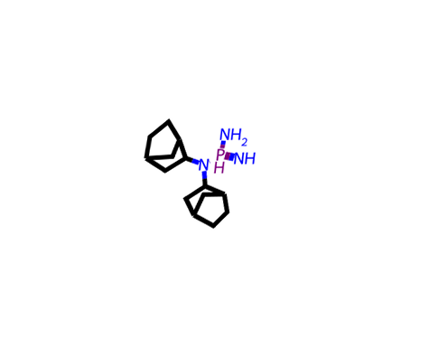 N=[PH](N)N(C1CC2CCC1C2)C1CC2CCC1C2